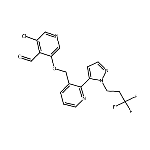 O=Cc1c(Cl)cncc1OCc1cccnc1-c1ccnn1CCC(F)(F)F